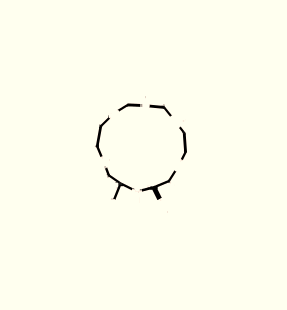 CC1CCCCCCCCCCCCCC(=O)N1